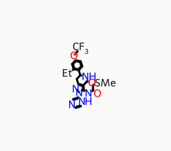 CCc1cc(OCC(F)(F)F)ccc1C1Cc2nn(-c3cnccn3)c(NC(=O)CSC)c2C(=O)N1